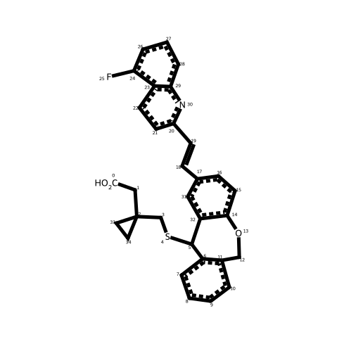 O=C(O)CC1(CSC2c3ccccc3COc3ccc(/C=C/c4ccc5c(F)cccc5n4)cc32)CC1